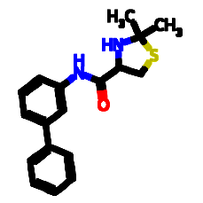 CC1(C)NC(C(=O)Nc2cccc(-c3ccccc3)c2)CS1